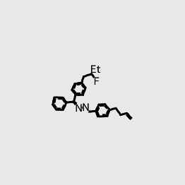 C=CCCc1ccc(C=NN=C(c2ccccc2)c2ccc(CC(F)CC)cc2)cc1